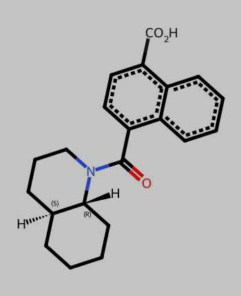 O=C(O)c1ccc(C(=O)N2CCC[C@@H]3CCCC[C@H]32)c2ccccc12